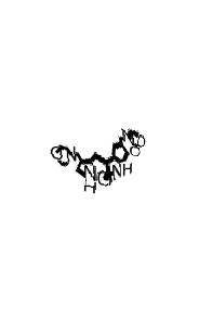 O=C1Nc2ccc(CN3CCOC3=O)cc2/C1=C/c1[nH]ccc1CN1CCOCC1